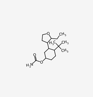 CCC1OCCC1C1CC(OC(N)=O)CCC1C(C)(C)C